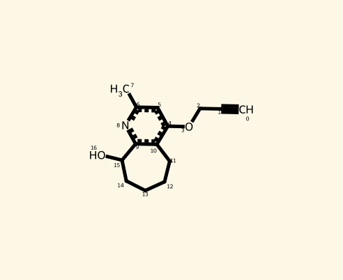 C#CCOc1cc(C)nc2c1CCCCC2O